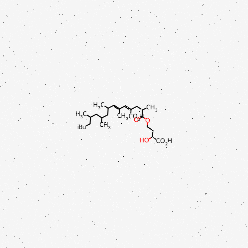 CCC(C)CC(C)CC(C)CC(C)/C=C(C)/C=C(/CC(C)C(=O)OCC[C@H](O)C(=O)O)C(=O)O